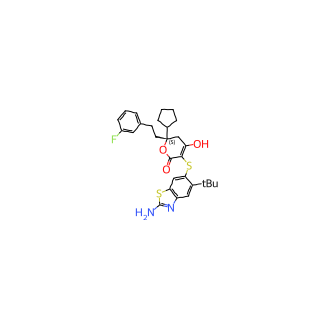 CC(C)(C)c1cc2nc(N)sc2cc1SC1=C(O)C[C@@](CCc2cccc(F)c2)(C2CCCC2)OC1=O